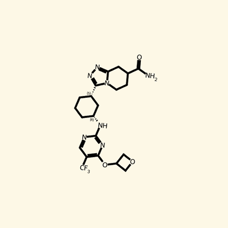 NC(=O)C1CCn2c(nnc2[C@H]2CCC[C@@H](Nc3ncc(C(F)(F)F)c(OC4COC4)n3)C2)C1